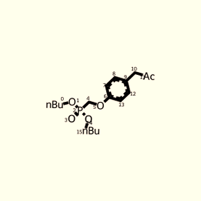 CCCCOP(=O)(COc1ccc(CC(C)=O)cc1)OCCCC